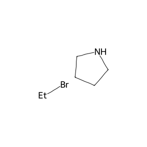 C1CCNC1.CCBr